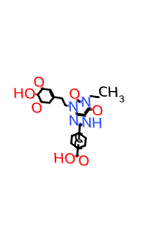 CCCn1c(=O)c2[nH]c(C34CCC(C(=O)O)(CC3)CC4)nc2n(CCC2=CC(=O)C(O)C(=O)C2)c1=O